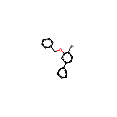 CC(C)c1ccc(-c2ccccc2)cc1OCc1ccccc1